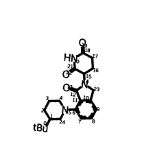 CC(C)(C)C1CCCN(c2cccc3c2C(=O)N(C2CCC(=O)NC2=O)C3)C1